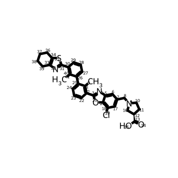 Cc1c(-c2nc3cc(CN4CC[C@@H](C(=O)O)C4)cc(Cl)c3o2)cccc1-c1cccc(-c2nc3c(s2)CCCC3)c1C